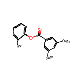 COc1cc(OC)cc(C(=O)Oc2ccccc2C(C)C)c1